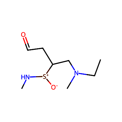 CCN(C)CC(CC=O)[S+]([O-])NC